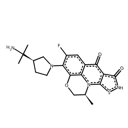 C[C@H]1COc2c(N3CC[C@@H](C(C)(C)N)C3)c(F)cc3c(=O)c4c(=O)[nH]sc4n1c23